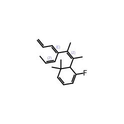 C=C/C=C(\C=C/C)C(/C)=C(/C)C1C(F)=CC=CC1(C)C